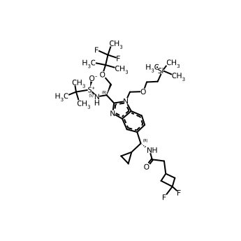 CC(C)(C)[S@@+]([O-])N[C@@H](COC(C)(C)C(C)(F)F)c1nc2cc([C@H](NC(=O)CC3CC(F)(F)C3)C3CC3)ccc2n1COCC[Si](C)(C)C